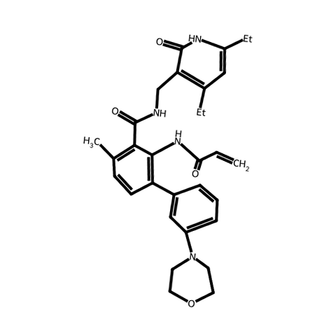 C=CC(=O)Nc1c(-c2cccc(N3CCOCC3)c2)ccc(C)c1C(=O)NCc1c(CC)cc(CC)[nH]c1=O